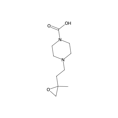 CC1(CCN2CCN(C(=O)O)CC2)CO1